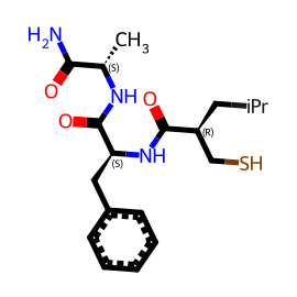 CC(C)C[C@@H](CS)C(=O)N[C@@H](Cc1ccccc1)C(=O)N[C@@H](C)C(N)=O